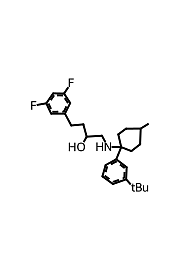 CC1CCC(NCC(O)CCc2cc(F)cc(F)c2)(c2cccc(C(C)(C)C)c2)CC1